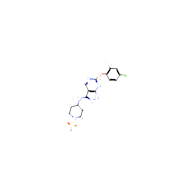 CS(=O)(=O)N1CCC(Nc2n[nH]c3nc(Oc4ccc(F)cc4F)ncc23)CC1